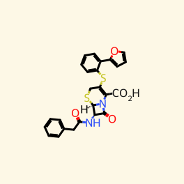 O=C(Cc1ccccc1)N[C@@H]1C(=O)N2C(C(=O)O)=C(Sc3ccccc3-c3ccco3)CS[C@H]12